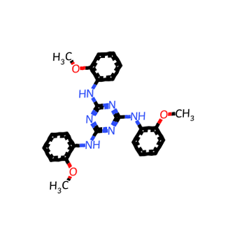 COc1ccccc1Nc1nc(Nc2ccccc2OC)nc(Nc2ccccc2OC)n1